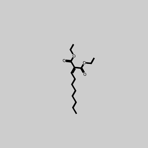 CCCCCCCC=C(C(=O)OCC)C(=O)OCC